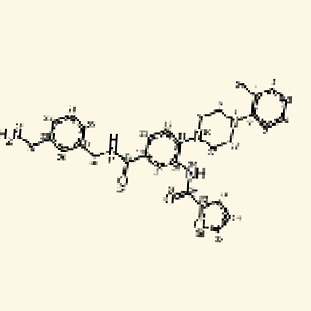 Cc1ccccc1N1CCN(c2ccc(C(=O)NCc3cccc(CN)c3)cc2NC(=O)c2ccco2)CC1